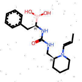 CC=CN1CCCC[C@H]1CNC(=O)N[C@@H](Cc1ccccc1)B(O)O